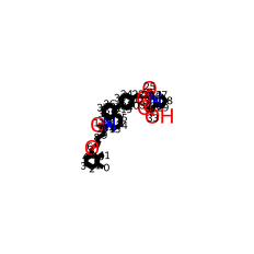 Cc1cccc(OCCCC(=O)N2CCCc3c(-c4ccc(COC(=O)N5CCCC5C(=O)O)cc4)cccc32)c1C